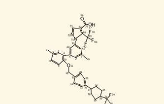 Cc1cc(-c2cc(C)ccc2OCc2ccc(C3CCC(C(F)(F)F)CC3)cc2)cc(-n2ncc(C(=O)O)c2C(F)(F)F)c1